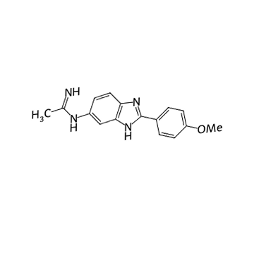 COc1ccc(-c2nc3ccc(NC(C)=N)cc3[nH]2)cc1